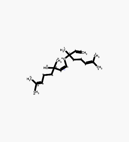 C=CC(C)(CCC=C(C)C)O/C=C\C(C)(O)CCC=C(C)C